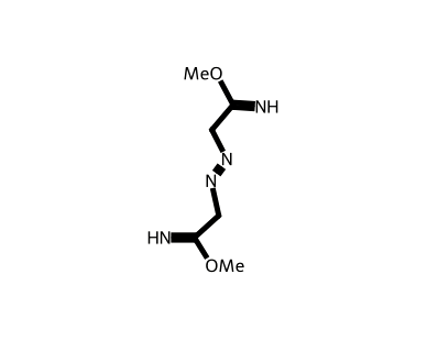 COC(=N)CN=NCC(=N)OC